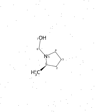 C[C@@H]1CCCN1CO